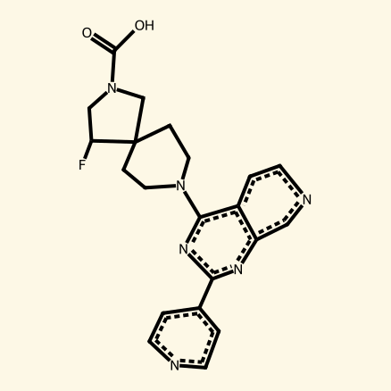 O=C(O)N1CC(F)C2(CCN(c3nc(-c4ccncc4)nc4cnccc34)CC2)C1